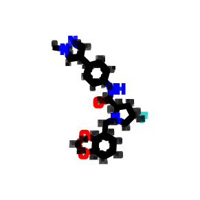 Cn1cc(-c2ccc(NC(=O)[C@H]3C[C@H](F)CN3Cc3cccc4c3OCO4)cc2)cn1